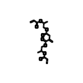 C=CC(=O)OC(C)COC(=O)CC(=C)C(=O)OCC(C)OC(=O)C=C